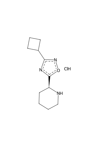 C1CC[C@@H](c2nc(C3CCC3)no2)NC1.Cl